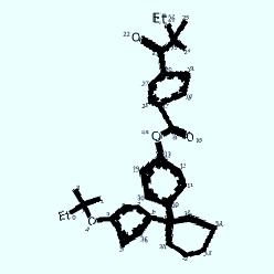 CCC(C)(C)Oc1ccc(C2(c3ccc(OC(=O)c4ccc(C(=O)C(C)(C)CC)cc4)cc3)CCCCC2)cc1